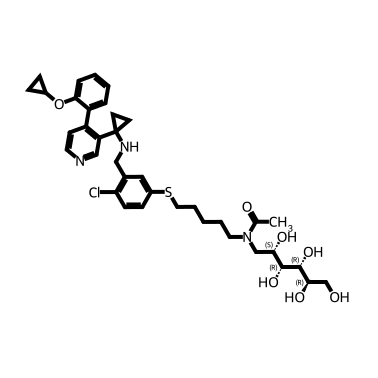 CC(=O)N(CCCCCSc1ccc(Cl)c(CNC2(c3cnccc3-c3ccccc3OC3CC3)CC2)c1)C[C@H](O)[C@@H](O)[C@H](O)[C@H](O)CO